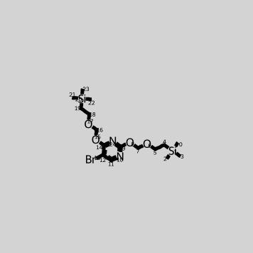 C[Si](C)(C)CCOCOc1ncc(Br)c(OCOCC[Si](C)(C)C)n1